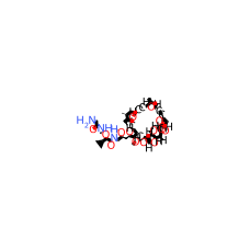 C=C1C[C@@H]2CC[C@@]34C[C@H]5OC6[C@@H](O[C@H]7CC[C@H](CC(=O)C[C@@H]8[C@@H](OC)[C@@H](C[C@@H](CNC(=O)[C@H](OCNC(=O)CN)C9CC9)OC)O[C@H]8C[C@H]8O[C@@H](CC[C@@H]1O2)C[C@@H](C)C8=C)O[C@@H]7[C@@H]6O3)[C@H]5O4